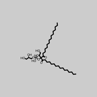 CCCCCCCCCCCCCCCC(=O)C(OP(=O)(O)OC[C@H](O)CO)(C(=O)CCCCCCCCCCCCCCC)C(O)CO